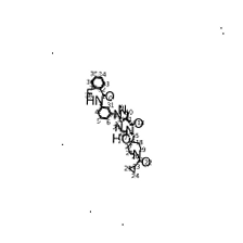 O=C(Nc1cccc(-n2ncc3c(=O)n(CC4(O)CCN(C(=O)C5CC5)CC4)cnc32)c1)c1ccccc1F